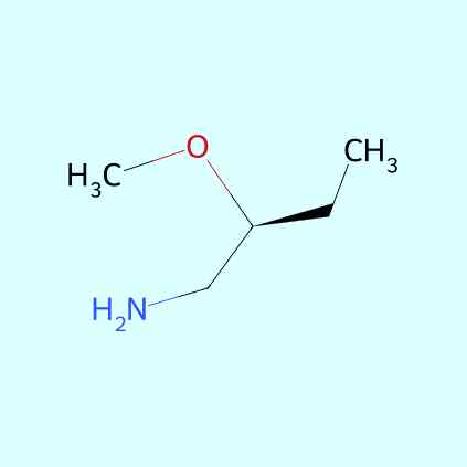 CC[C@@H](CN)OC